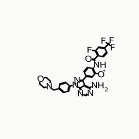 COc1cc(-c2nn(-c3ccc(CN4CCOCC4)cc3)c3ncnc(N)c23)ccc1NC(=O)c1ccc(C(F)(F)F)cc1F